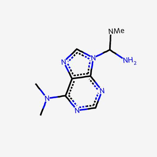 CNC(N)n1cnc2c(N(C)C)ncnc21